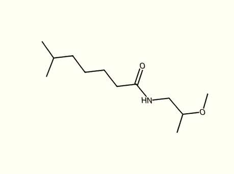 COC(C)CNC(=O)CCCCC(C)C